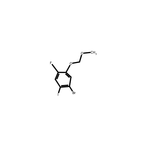 COCOc1cc(Br)c(I)cc1F